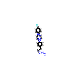 NCCc1ccc(N2CCN(c3ccc(F)cc3)CC2)cc1